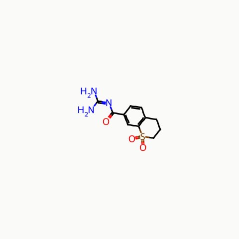 NC(N)=NC(=O)c1ccc2c(c1)S(=O)(=O)CCC2